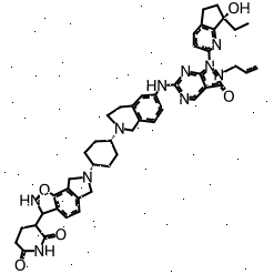 C=CCn1c(=O)c2cnc(Nc3ccc4c(c3)CCN([C@H]3CC[C@@H](N5Cc6ccc7c(c6C5)ONC7C5CCC(=O)NC5=O)CC3)C4)nc2n1-c1ccc2c(n1)[C@@](O)(CC)CC2